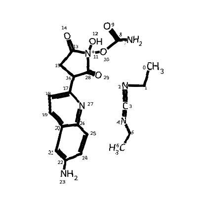 CCN=C=NCC.NC(=O)O[N+]1(O)C(=O)CC(c2ccc3cc(N)ccc3n2)C1=O